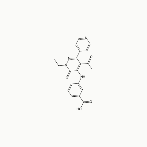 CCn1nc(-c2ccncc2)c(C(C)=O)c(Nc2cccc(C(=O)O)c2)c1=O